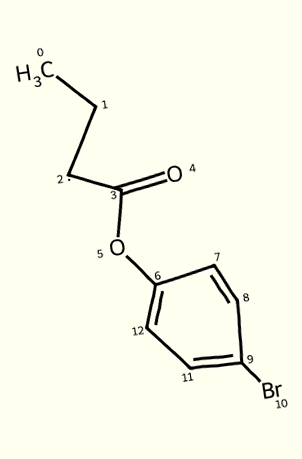 CC[CH]C(=O)Oc1ccc(Br)cc1